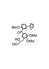 COc1ccc(-c2ccco2)cc1C(=O)c1cc(CC(O)CO)c(OC)c(OC)c1